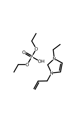 C=CCN1C=CN(CC)C1.CCOP(=O)(O)OCC